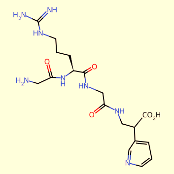 N=C(N)NCCC[C@H](NC(=O)CN)C(=O)NCC(=O)NCC(C(=O)O)c1cccnc1